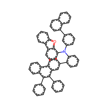 c1ccc(-c2c(-c3ccccc3)c3cc(-c4ccccc4N(c4cccc(-c5cccc6ccccc56)c4)c4cccc5c4oc4ccccc45)ccc3c3ccccc23)cc1